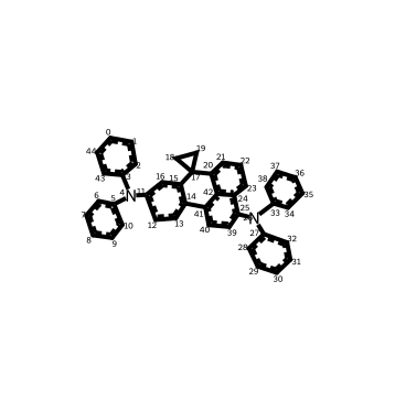 c1ccc(N(c2ccccc2)c2ccc3c(c2)C2(CC2)c2cccc4c(N(c5ccccc5)c5ccccc5)ccc-3c24)cc1